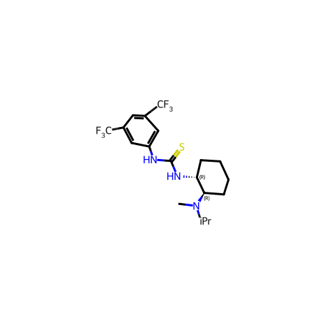 CC(C)N(C)[C@@H]1CCCC[C@H]1NC(=S)Nc1cc(C(F)(F)F)cc(C(F)(F)F)c1